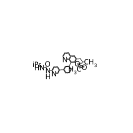 CC(C)NC(=O)Nc1ccc(-c2cccc(-c3cc(CC(C)S(C)(=O)=O)cc4cccnc34)c2)cn1